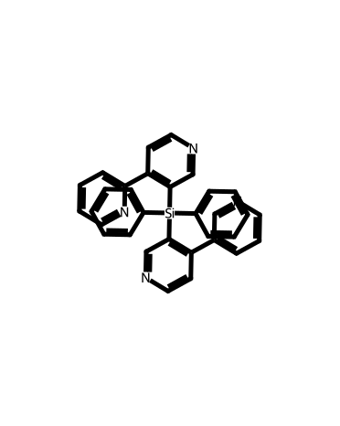 c1ccc([Si](c2ccccc2)(c2cnccc2-c2cccnc2)c2cnccc2-c2ccccn2)cc1